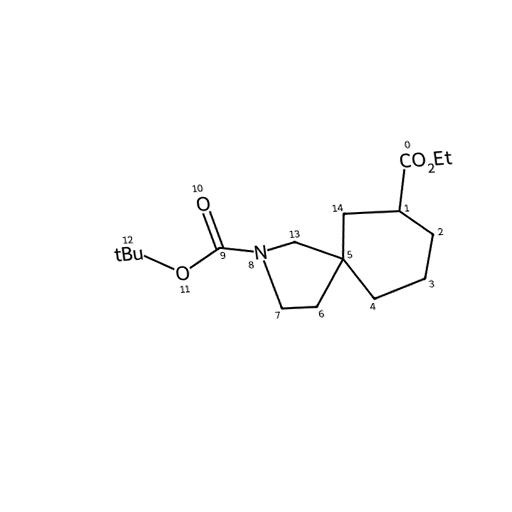 CCOC(=O)C1CCCC2(CCN(C(=O)OC(C)(C)C)C2)C1